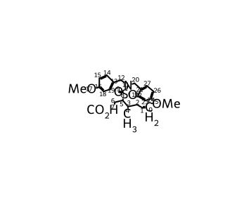 C=CC[C@@H](C)C(CC(=O)O)S(=O)(=O)N(Cc1ccc(OC)cc1)Cc1ccc(OC)cc1